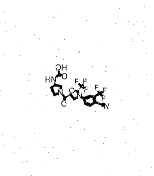 N#Cc1ccc(N2C[C@@H](C(=O)N3CC[C@@H](NC(=O)O)C3)O[C@@H]2C(F)(F)F)cc1C(F)(F)F